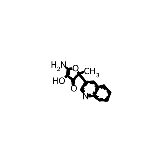 CC1(c2cnc3ccccc3c2)OC(N)=C(O)C1=O